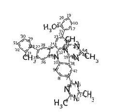 Cc1nc(C)nc(-c2ccc(-n3c4ccc(-c5ccccc5C)cc4c4cc(-c5ccccc5C)ccc43)c(-c3nc(C)nc(C)n3)c2)n1